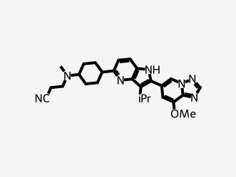 COc1cc(-c2[nH]c3ccc(C4CCC(N(C)CCC#N)CC4)nc3c2C(C)C)cn2ncnc12